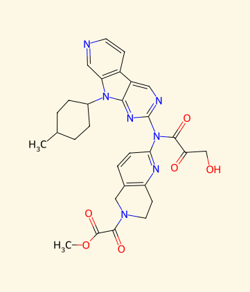 COC(=O)C(=O)N1CCc2nc(N(C(=O)C(=O)CO)c3ncc4c5ccncc5n(C5CCC(C)CC5)c4n3)ccc2C1